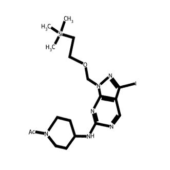 CC(=O)N1CCC(Nc2ncc3c(I)nn(COCC[Si](C)(C)C)c3n2)CC1